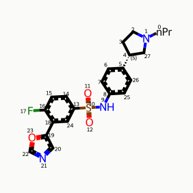 CCCN1CC[C@@H](c2ccc(NS(=O)(=O)c3ccc(F)c(-c4cnco4)c3)cc2)C1